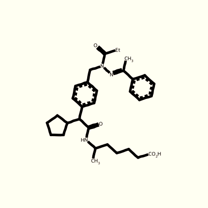 CCC(=O)N(Cc1ccc(C(C(=O)NC(C)CCCCC(=O)O)C2CCCC2)cc1)/N=C(\C)c1ccccc1